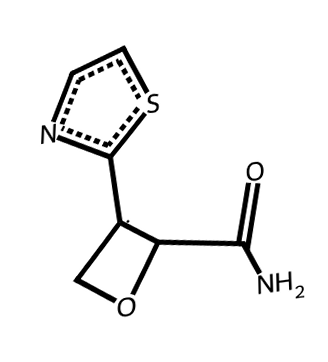 NC(=O)C1OC[C]1c1nccs1